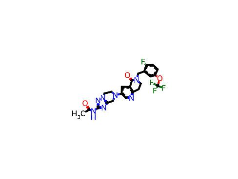 CC(=O)Nc1nc2n(n1)CCN(c1cnc3c(c1)C(=O)N(Cc1cc(OC(F)(F)F)ccc1F)CC3)C2